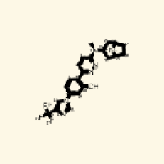 CN(c1ccc(-c2ccc(-n3cnc(C(F)(F)F)c3)cc2O)nn1)C1CC2CCC(C1)N2